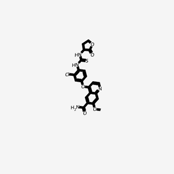 COc1cc2nccc(Oc3ccc(NC(=S)NC4CCOC4=O)c(Cl)c3)c2cc1C(N)=O